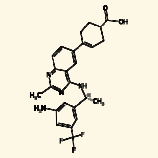 Cc1nc(N[C@H](C)c2cc(N)cc(C(F)(F)F)c2)c2cc(C3=CCC(C(=O)O)CC3)ccc2n1